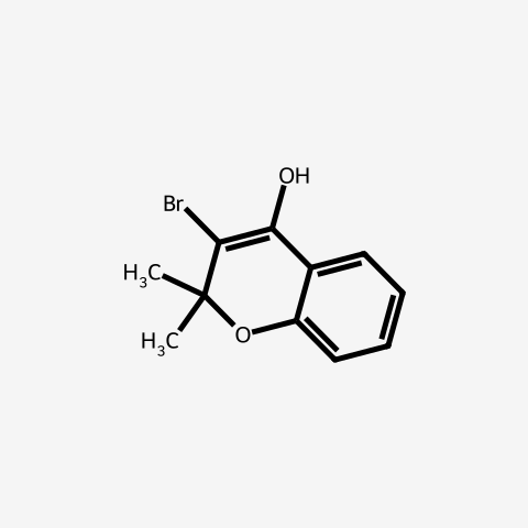 CC1(C)Oc2ccccc2C(O)=C1Br